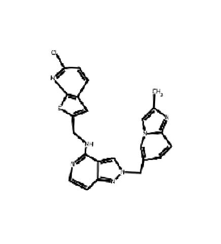 Cc1cn2cc(Cn3cc4c(NCc5cc6ccc(Cl)nc6s5)nccc4n3)ccc2n1